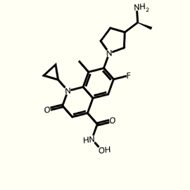 Cc1c(N2CCC([C@H](C)N)C2)c(F)cc2c(C(=O)NO)cc(=O)n(C3CC3)c12